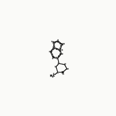 CC1CC(c2ccc3scnc3c2)CC[N]1